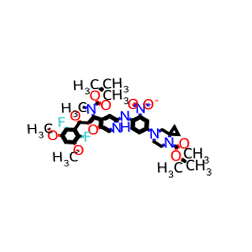 COc1cc(OC)c(F)c(C(=O)c2oc3cnc(Nc4ccc(N5CCN(C(=O)OC(C)(C)C)C6(CC6)C5)cc4[N+](=O)[O-])cc3c2N(C)C(=O)OC(C)(C)C)c1F